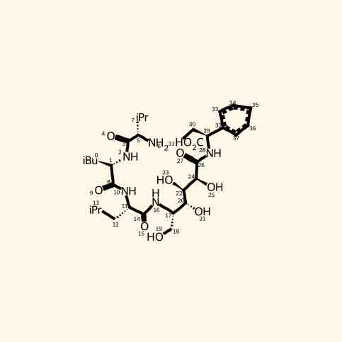 CC[C@H](C)[C@H](NC(=O)[C@@H](N)C(C)C)C(=O)N[C@@H](CC(C)C)C(=O)N[C@@H](CO)[C@@H](O)[C@@H](O)[C@H](O)C(=O)N[C@@H](CC(=O)O)c1ccccc1